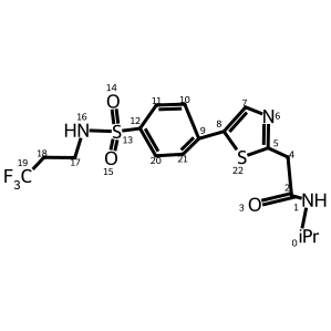 CC(C)NC(=O)Cc1ncc(-c2ccc(S(=O)(=O)NCCC(F)(F)F)cc2)s1